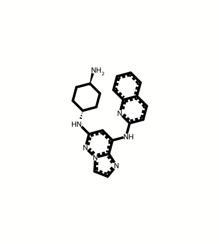 N[C@H]1CC[C@H](Nc2cc(Nc3ccc4ccccc4n3)c3nccn3n2)CC1